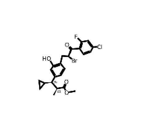 COC(=O)[C@@H](C)[C@H](c1ccc(CC(Br)C(=O)c2ccc(Cl)cc2F)c(O)c1)C1CC1